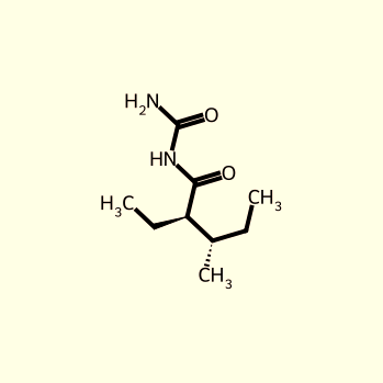 CC[C@H](C)[C@@H](CC)C(=O)NC(N)=O